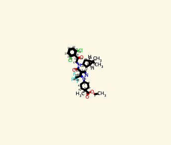 CCOC(=O)C1(C)CCC(n2ncc(C(=O)N(CC(=O)c3c(Cl)cccc3Cl)[C@H]3C[C@@H]4[C@H](C3)C4(C)C)c2C(F)(F)F)CC1